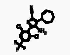 N#Cc1nn(-c2c(Cl)cc(C(F)(F)F)cc2Cl)c(N)c1C1C=CCCCC1